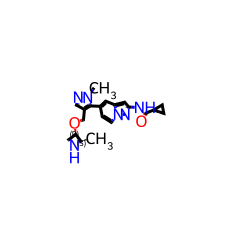 C[C@@H]1NC[C@H]1OCc1cnn(C)c1-c1ccn2nc(NC(=O)C3CC3)cc2c1